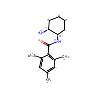 COc1cc(C(F)(F)F)cc(SC)c1C(=O)N[C@@H]1CCCC[C@@H]1N